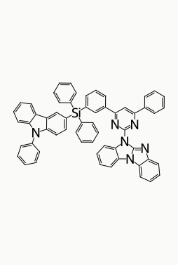 c1ccc(-c2cc(-c3cccc([Si](c4ccccc4)(c4ccccc4)c4ccc5c(c4)c4ccccc4n5-c4ccccc4)c3)nc(-n3c4ccccc4n4c5ccccc5nc34)n2)cc1